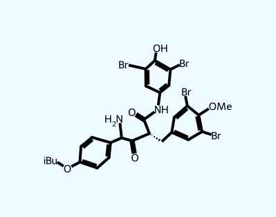 CCC(C)Oc1ccc(C(N)C(=O)[C@@H](Cc2cc(Br)c(OC)c(Br)c2)C(=O)Nc2cc(Br)c(O)c(Br)c2)cc1